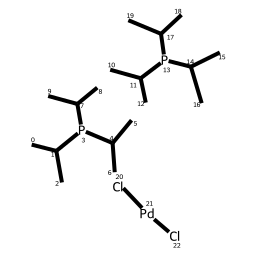 CC(C)P(C(C)C)C(C)C.CC(C)P(C(C)C)C(C)C.[Cl][Pd][Cl]